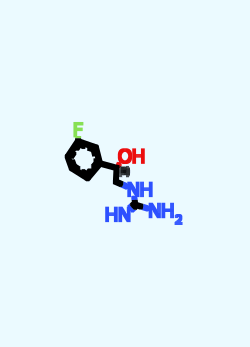 N=C(N)NC[C@H](O)c1cccc(F)c1